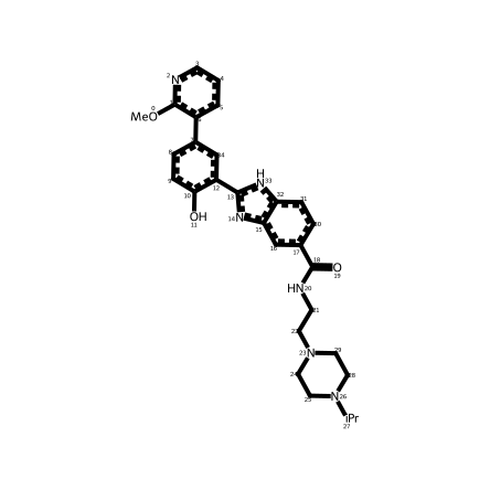 COc1ncccc1-c1ccc(O)c(-c2nc3cc(C(=O)NCCN4CCN(C(C)C)CC4)ccc3[nH]2)c1